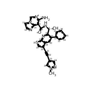 C[C@@H](NC(=O)c1c(N)ncn2ccnc12)c1nc2scc(C#Cc3cnn(C)c3)c2cc1-c1ccccc1